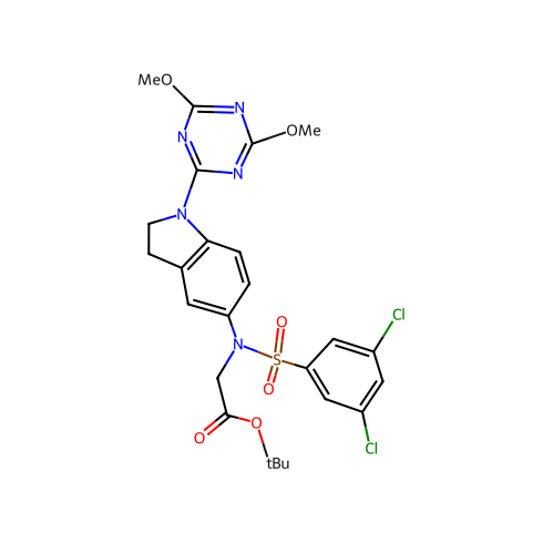 COc1nc(OC)nc(N2CCc3cc(N(CC(=O)OC(C)(C)C)S(=O)(=O)c4cc(Cl)cc(Cl)c4)ccc32)n1